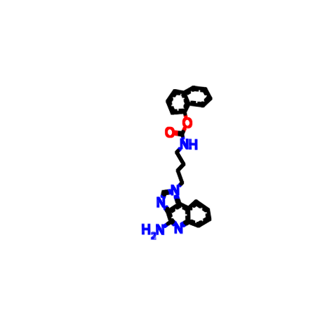 Nc1nc2ccccc2c2c1ncn2CCCCNC(=O)Oc1cccc2ccccc12